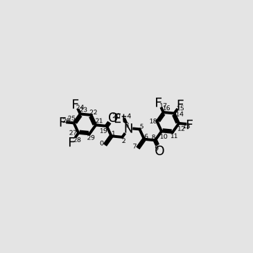 C=C(CN(CC)CC(=C)C(=O)c1cc(F)c(F)c(F)c1)C(=O)c1cc(F)c(F)c(F)c1